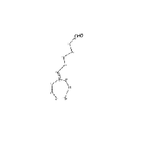 O=CCCCCC=C1CCCCCC1